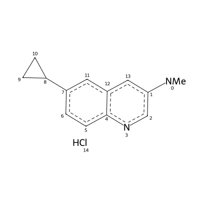 CNc1cnc2ccc(C3CC3)cc2c1.Cl